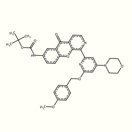 COc1ccc(COc2cc(N3CCOCC3)cc(-c3nccc4c(=O)c5cc(NC(=O)OC(C)(C)C)ccc5oc34)n2)cc1